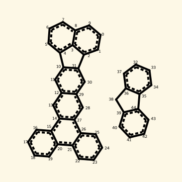 c1cc2c3c(cccc3c1)-c1cc3cc4c5ccccc5c5ccccc5c4cc3cc1-2.c1ccc2c(c1)Cc1ccccc1-2